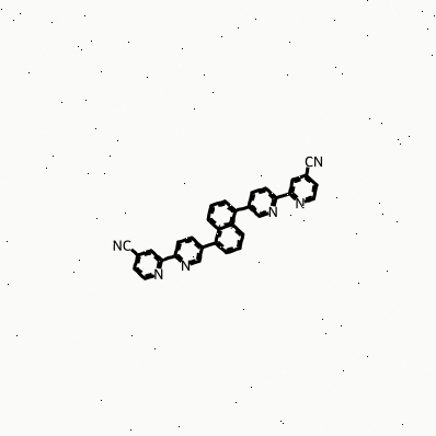 N#Cc1ccnc(-c2ccc(-c3cccc4c(-c5ccc(-c6cc(C#N)ccn6)nc5)cccc34)cn2)c1